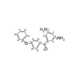 Nc1cc(N)cc(C(=O)c2ccc(Oc3ccccc3)cc2)c1